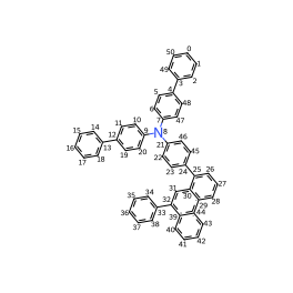 c1ccc(-c2ccc(N(c3ccc(-c4ccccc4)cc3)c3ccc(-c4cccc5c4cc(-c4ccccc4)c4ccccc45)cc3)cc2)cc1